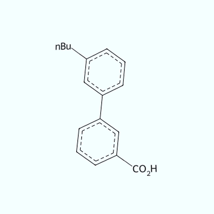 CCCCc1cccc(-c2cccc(C(=O)O)c2)c1